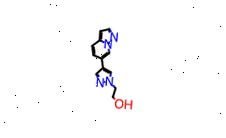 OCCn1cc(-c2ccc3ccnn3c2)cn1